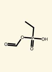 CCP(=O)(O)OC=O